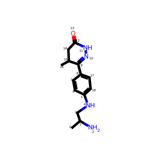 CC(N)CNc1ccc(C2=NNC(=O)CC2C)cc1